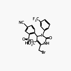 CS(=O)(=O)c1cc(C#N)ccc1C1C(C(=O)O)=C(CBr)NC(=O)N1c1cccc(C(F)(F)F)c1